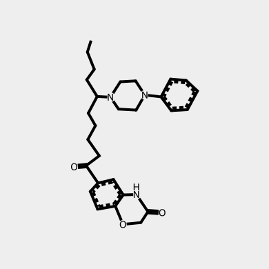 CCCCC(CCCCC(=O)c1ccc2c(c1)NC(=O)CO2)N1CCN(c2ccccc2)CC1